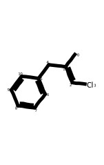 CC(=CCl)Cc1ccccc1